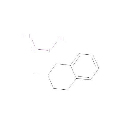 C[C@H]1CCc2ccccc2[C@H]1P(P)PP